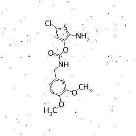 COc1ccc(CNC(=O)Oc2cc(Cl)sc2N)cc1OC